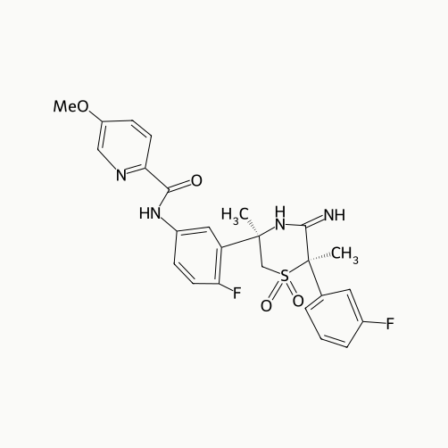 COc1ccc(C(=O)Nc2ccc(F)c([C@]3(C)CS(=O)(=O)[C@](C)(c4cccc(F)c4)C(=N)N3)c2)nc1